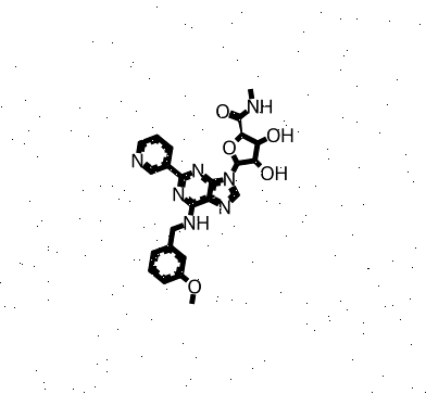 CNC(=O)[C@@H]1OC(n2cnc3c(NCc4cccc(OC)c4)nc(-c4cccnc4)nc32)C(O)C1O